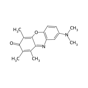 Cc1c2nc3cc(N(C)C)ccc3oc-2c(C)c(=O)c1C